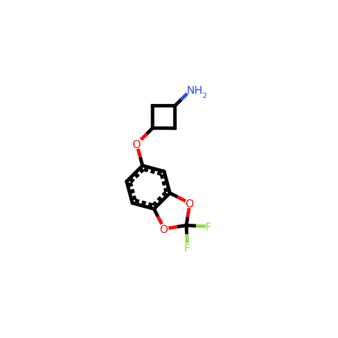 NC1CC(Oc2ccc3c(c2)OC(F)(F)O3)C1